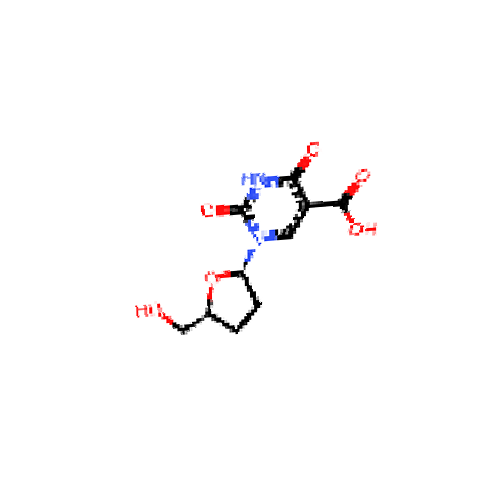 O=C(O)c1cn([C@H]2CC[C@@H](CO)O2)c(=O)[nH]c1=O